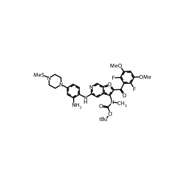 COc1cc(OC)c(F)c(C(=O)c2oc3cnc(Nc4ccc(N5CCN(SC)CC5)cc4N)cc3c2N(C)C(=O)OC(C)(C)C)c1F